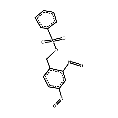 O=Nc1ccc(COS(=O)(=O)c2ccccc2)c(N=O)c1